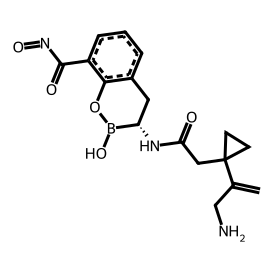 C=C(CN)C1(CC(=O)N[C@H]2Cc3cccc(C(=O)N=O)c3OB2O)CC1